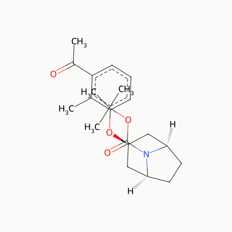 CC(=O)c1cccc(O[C@H]2C[C@H]3CC[C@@H](C2)N3C(=O)OC(C)(C)C)c1C